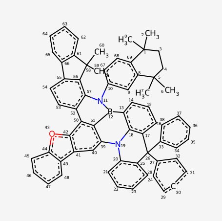 CC1(C)CCC(C)(C)c2cc(N3B4c5cccc6c5N(c5ccccc5C6(c5ccccc5)c5ccccc5)c5cc6c(oc7ccccc76)c(c54)-c4ccc5c(c43)C(C)(C)c3ccccc3-5)ccc21